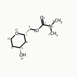 CN(C)C(=O)OC[C@@H]1C[C@H](O)CCO1